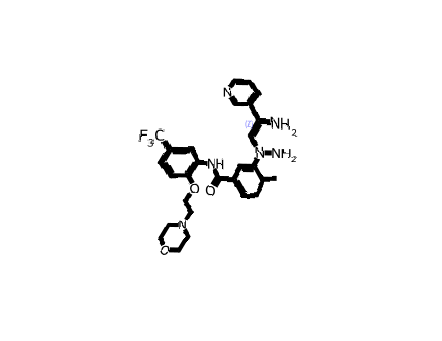 CC1CC=C(C(=O)Nc2cc(C(F)(F)F)ccc2OCCN2CCOCC2)C=C1N(N)/C=C(\N)c1cccnc1